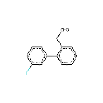 O=CCc1ccccc1-c1cccc(F)c1